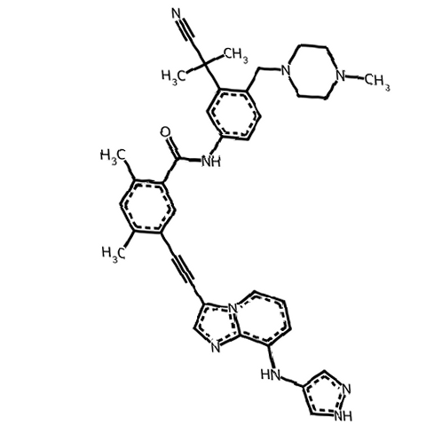 Cc1cc(C)c(C(=O)Nc2ccc(CN3CCN(C)CC3)c(C(C)(C)C#N)c2)cc1C#Cc1cnc2c(Nc3cn[nH]c3)cccn12